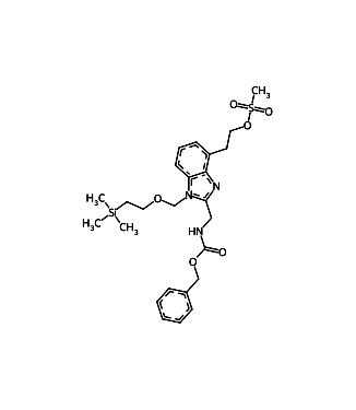 C[Si](C)(C)CCOCn1c(CNC(=O)OCc2ccccc2)nc2c(CCOS(C)(=O)=O)cccc21